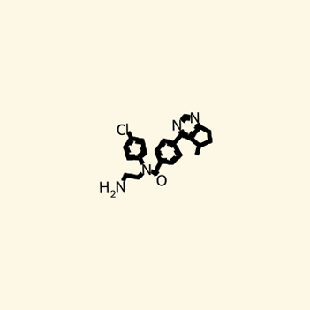 CC1CCc2ncnc(-c3ccc(C(=O)N(CCN)c4ccc(Cl)cc4)cc3)c21